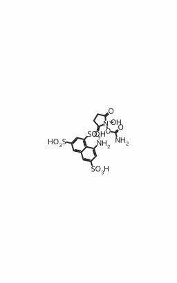 NC(=O)O[N+]1(O)C(=O)CCC1=O.Nc1cc(S(=O)(=O)O)cc2cc(S(=O)(=O)O)cc(S(=O)(=O)O)c12